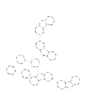 c1ccc(-c2cccc(-c3nc(-n4c5ccccc5c5cc(-c6ccc7oc8ccccc8c7c6)ccc54)nc(-n4c5ccccc5c5cc(-c6ccc7oc8ccccc8c7c6)ccc54)n3)c2-c2ccccc2)cc1